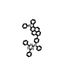 c1ccc(-c2nc(-c3ccccc3)nc(N(c3ccccc3)c3ccc(-c4ccc5ccc6c7c(ccc4c57)cc4c6c5ccccc5n4-c4ccccc4)cc3)n2)cc1